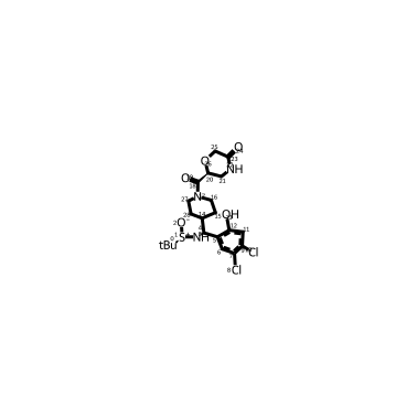 CC(C)(C)[S@+]([O-])N[C@@H](c1cc(Cl)c(Cl)cc1O)C1CCN(C(=O)[C@@H]2CNC(=O)CO2)CC1